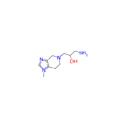 Cn1cnc2c1CCN(CC(O)CN)C2